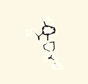 Bc1ccc(N2CCN(C(=O)OC(C)(C)C)CC2)c(C(N)=O)c1